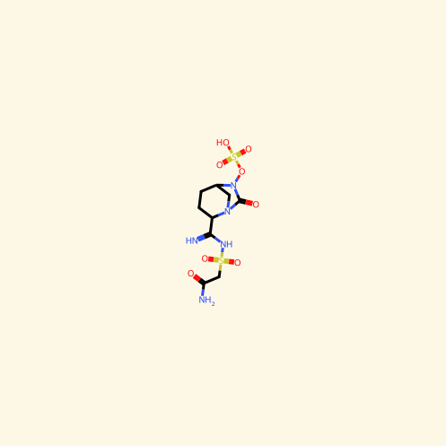 N=C(NS(=O)(=O)CC(N)=O)C1CCC2CN1C(=O)N2OS(=O)(=O)O